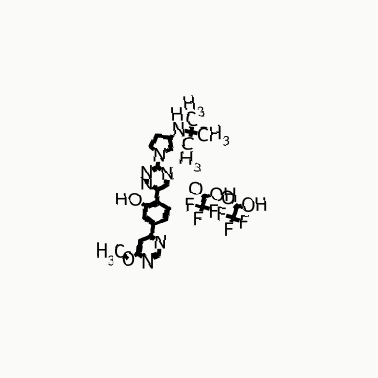 COc1cc(-c2ccc(-c3cnc(N4CCC(NC(C)(C)C)C4)nn3)c(O)c2)ncn1.O=C(O)C(F)(F)F.O=C(O)C(F)(F)F